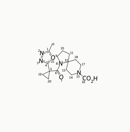 Cc1nnc(C2(C(=O)N3CCCC34CCN(C(=O)O)CC4)CC2)o1